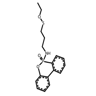 CCOSCCCNP1(=O)Oc2ccccc2-c2ccccc21